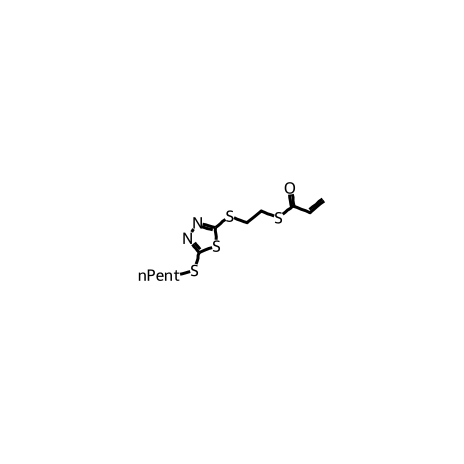 C=CC(=O)SCCSc1nnc(SCCCCC)s1